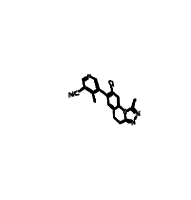 Cc1c(C#N)cncc1-c1cc2c(cc1Cl)-n1c(C)nnc1CC2